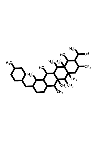 CC1CCC(CC2CCC3C(C2C)C(O)C2C(C)C4(C)C(O)C(C(C)O)C(C)CC4(C)C(C)C2(C)C3C)CC1